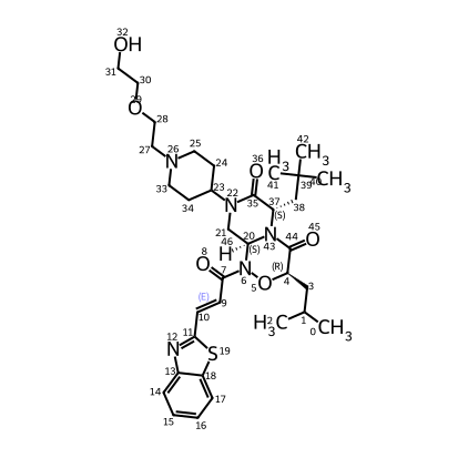 CC(C)C[C@H]1ON(C(=O)/C=C/c2nc3ccccc3s2)[C@H]2CN(C3CCN(CCOCCO)CC3)C(=O)[C@H](CC(C)(C)C)N2C1=O